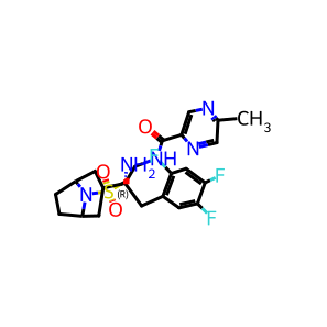 Cc1cnc(C(=O)NCCS(=O)(=O)N2C3CCC2CC([C@H](N)Cc2cc(F)c(F)cc2F)C3)cn1